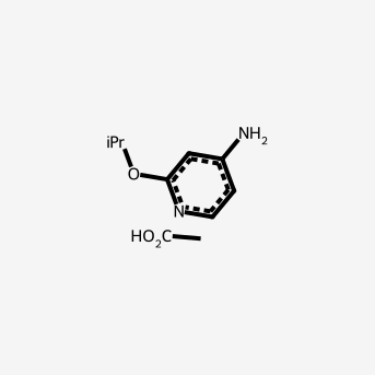 CC(=O)O.CC(C)Oc1cc(N)ccn1